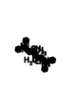 CC1(C)c2cc(-c3nc(-c4ccccc4)nc(-c4ccccc4)n3)ccc2-c2cc3c(cc21)-c1ccc(-c2nc(-c4ccccc4)nc(-c4ccccc4)n2)cc1C3(C)C